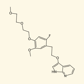 COCCOCCOc1cc(F)c(CCOc2c[nH]c3ncccc23)cc1OC